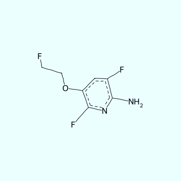 Nc1nc(F)c(OCCF)cc1F